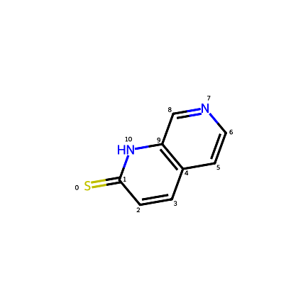 S=c1ccc2ccncc2[nH]1